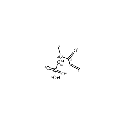 C=CC(=O)OC.O=S(=O)(O)O